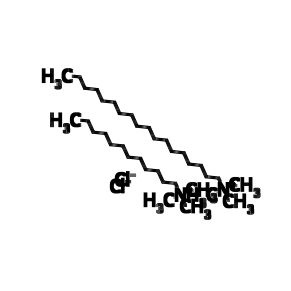 CCCCCCCCCCCCCCCCCC[N+](C)(C)C.CCCCCCCCCCCC[N+](C)(C)C.[Cl-].[Cl-]